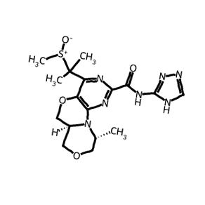 C[C@@H]1COC[C@H]2COc3c(nc(C(=O)Nc4nnc[nH]4)nc3C(C)(C)[S+](C)[O-])N21